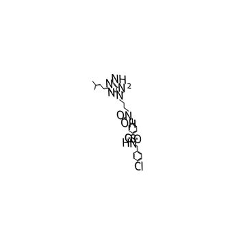 CC(C)CCc1nc(N)c2ncn(CCCCN(Cc3ccc(S(=O)(=O)NCc4ccc(Cl)cc4)cc3)C(=O)O)c2n1